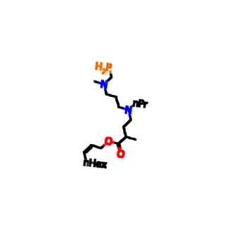 CCCCCC/C=C\COC(=O)C(C)CCN(CCC)CCCN(C)CP